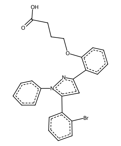 O=C(O)CCCOc1ccccc1-c1cc(-c2ccccc2Br)n(-c2ccccc2)n1